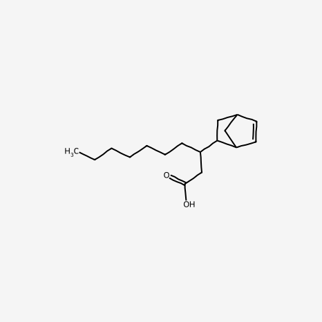 CCCCCCCC(CC(=O)O)C1CC2C=CC1C2